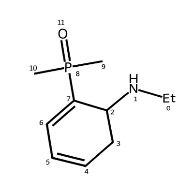 CCNC1CC=CC=C1P(C)(C)=O